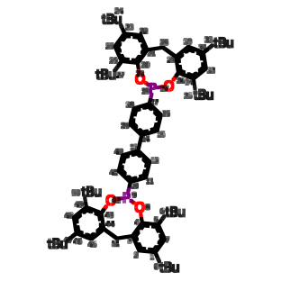 CC(C)(C)c1cc2c(c(C(C)(C)C)c1)OP(c1ccc(-c3ccc(P4Oc5c(cc(C(C)(C)C)cc5C(C)(C)C)Cc5cc(C(C)(C)C)cc(C(C)(C)C)c5O4)cc3)cc1)Oc1c(cc(C(C)(C)C)cc1C(C)(C)C)C2